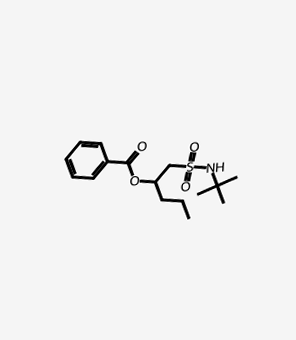 CCCC(CS(=O)(=O)NC(C)(C)C)OC(=O)c1ccccc1